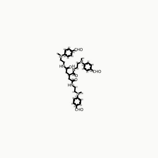 CN(CCNC(=O)CC(CC(=O)NCCN(C)c1ccc(C=O)cc1)C(=O)NCCN(C)c1ccc(C=O)cc1)c1ccc(C=O)cc1